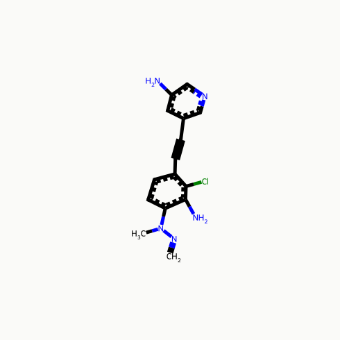 C=NN(C)c1ccc(C#Cc2cncc(N)c2)c(Cl)c1N